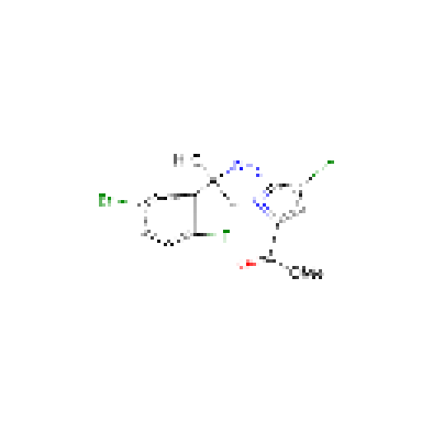 COC(=O)c1cc(F)cn1CC(C)(N)c1cc(Br)ccc1F